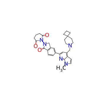 Cn1ccc2c(CN3CCC4(CCC4)CC3)cc(-c3ccc4c(c3)CN(N3C(=O)CCCC3=O)C4=O)nc21